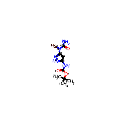 CC(C)(C)OC(=O)Nc1cc(N(S)C(N)=O)n[nH]1